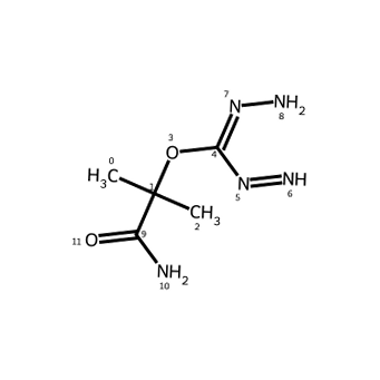 CC(C)(OC(N=N)=NN)C(N)=O